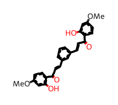 COc1ccc(C(=O)/C=C/c2cccc(/C=C/C(=O)c3ccc(OC)cc3O)c2)c(O)c1